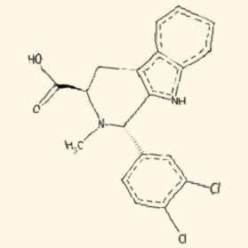 CN1[C@@H](c2ccc(Cl)c(Cl)c2)c2[nH]c3ccccc3c2C[C@@H]1C(=O)O